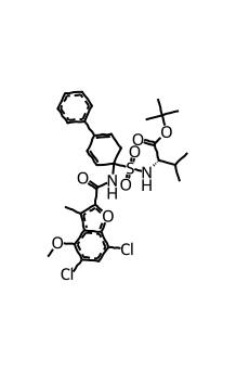 COc1c(Cl)cc(Cl)c2oc(C(=O)NC3(S(=O)(=O)N[C@H](C(=O)OC(C)(C)C)C(C)C)C=CC(c4ccccc4)=CC3)c(C)c12